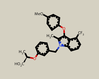 COc1ccc(Oc2c(C)n(Cc3cccc(O[C@H](C)C(=O)O)c3)c3cccc(C(F)(F)F)c23)cc1